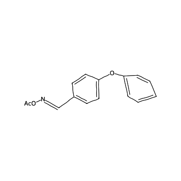 CC(=O)ON=Cc1ccc(Oc2ccccc2)cc1